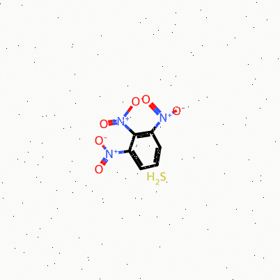 O=[N+]([O-])c1cccc([N+](=O)[O-])c1[N+](=O)[O-].S